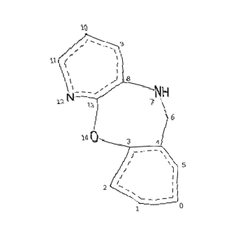 c1ccc2c(c1)CNc1cccnc1O2